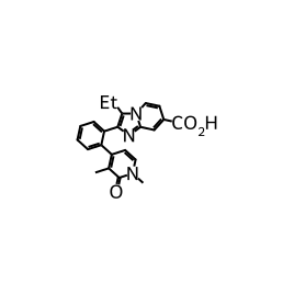 CCc1c(-c2ccccc2-c2ccn(C)c(=O)c2C)nc2cc(C(=O)O)ccn12